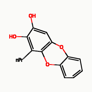 CCCc1c(O)c(O)cc2c1Oc1ccccc1O2